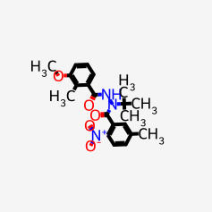 COc1cccc(C(=O)NN(C(=O)c2cc(C)ccc2[N+](=O)[O-])C(C)(C)C)c1C